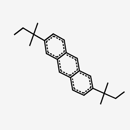 CCC(C)(C)c1ccc2cc3cc(C(C)(C)CC)ccc3cc2c1